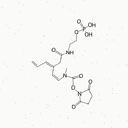 C=C/C=C(\C=C/N(C)C(=O)ON1C(=O)CCC1=O)CC(=O)NCCOP(=O)(O)O